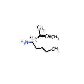 C=C=C(C)C.CCCCCN